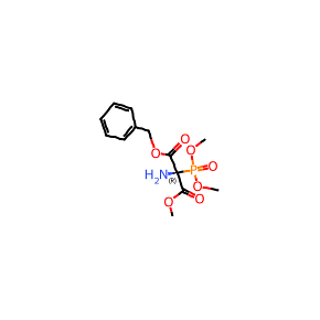 COC(=O)[C@](N)(C(=O)OCc1ccccc1)P(=O)(OC)OC